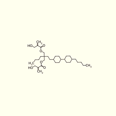 C=C(CO)C(=O)OCC(CCCC)(CCC1CCC(C2CCC(CCCCC)CC2)CC1)COC(=O)C(=C)CO